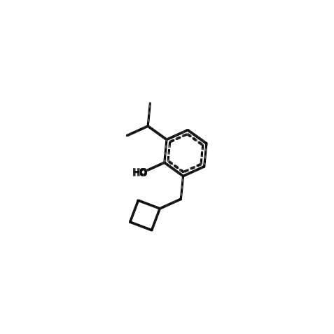 CC(C)c1cccc(CC2CCC2)c1O